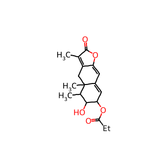 CCC(=O)OC1C=C2C=C3OC(=O)C(C)=C3CC2(C)C(C)C1O